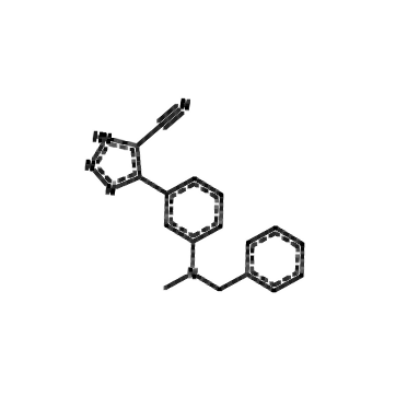 CN(Cc1ccccc1)c1cccc(-c2nn[nH]c2C#N)c1